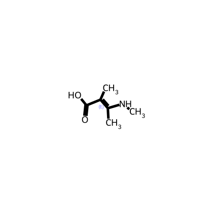 CN/C(C)=C(\C)C(=O)O